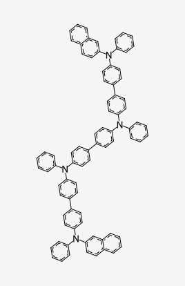 c1ccc(N(c2ccc(-c3ccc(N(c4ccccc4)c4ccc(-c5ccc(N(c6ccccc6)c6ccc7ccccc7c6)cc5)cc4)cc3)cc2)c2ccc(-c3ccc(N(c4ccccc4)c4ccc5ccccc5c4)cc3)cc2)cc1